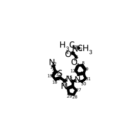 CN(C)C(=O)COc1ccc2c(c1)N(c1nc(-c3ccc(C#N)s3)nc3c1CCC3)CC2